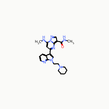 CNC(=O)c1cnn2c(NC)cc(-c3cn(CCN4CCCCC4)c4ncccc34)nc12